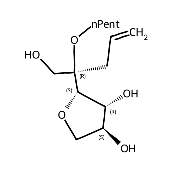 C=CC[C@](CO)(OCCCCC)[C@H]1OC[C@H](O)[C@H]1O